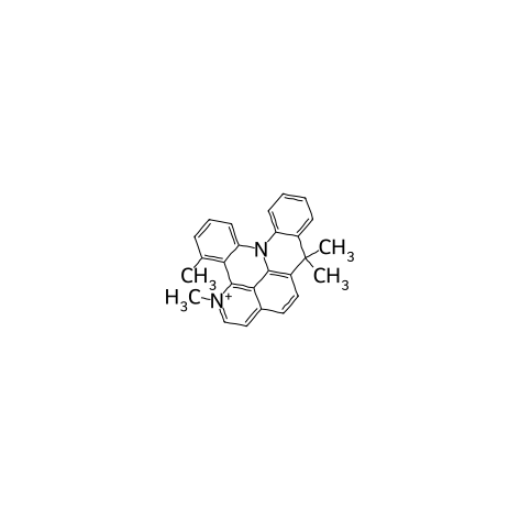 Cc1cccc2c1-c1c3c4c(ccc3cc[n+]1C)C(C)(C)c1ccccc1N24